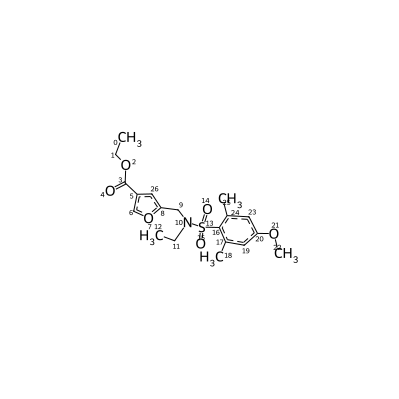 CCOC(=O)c1coc(CN(CC)S(=O)(=O)c2c(C)cc(OC)cc2C)c1